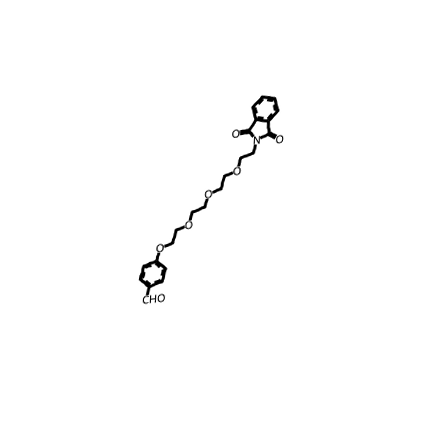 O=Cc1ccc(OCCOCCOCCOCCN2C(=O)c3ccccc3C2=O)cc1